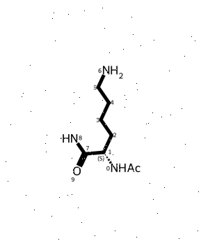 CC(=O)N[C@@H](CCCCN)C([NH])=O